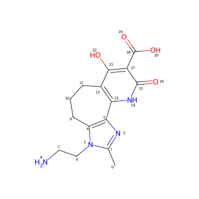 Cc1nc2c(n1CCN)CCCc1c-2[nH]c(=O)c(C(=O)O)c1O